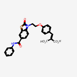 O=C(O)C(=Cc1ccc(OCCn2c(=O)sc3cc(C(=O)Nc4ccccc4)ccc32)cc1)C(=O)O